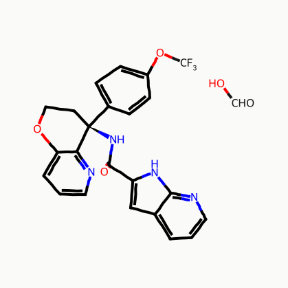 O=C(N[C@]1(c2ccc(OC(F)(F)F)cc2)CCOc2cccnc21)c1cc2cccnc2[nH]1.O=CO